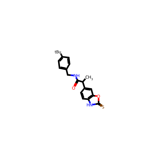 CC(C(=O)NCc1ccc(C(C)(C)C)cc1)c1ccc2[nH]c(=S)oc2c1